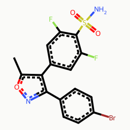 Cc1onc(-c2ccc(Br)cc2)c1-c1cc(F)c(S(N)(=O)=O)c(F)c1